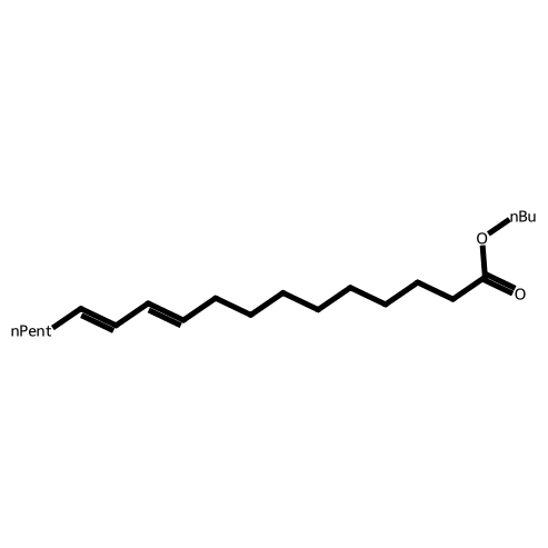 CCCCCC=CC=CCCCCCCCCC(=O)OCCCC